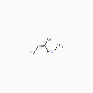 C/C=N\C(S)=C/C